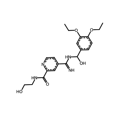 CCOc1ccc(C(O)NC(=N)c2ccnc(C(=O)NCCO)c2)cc1OCC